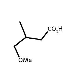 COCC(C)CC(=O)O